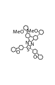 COc1ccccc1-c1ccc2c(c1)c1cc(-c3ccccc3OC)ccc1c1nc3c(-c4ccc5c(c4)oc4ccccc45)sc(-c4ccc5c(c4)oc4ccccc45)c3nc21